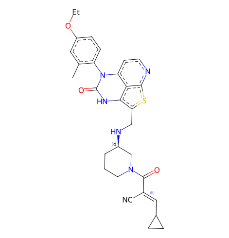 CCOc1ccc(N2C(=O)Nc3c(CN[C@@H]4CCCN(C(=O)/C(C#N)=C/C5CC5)C4)sc4nccc2c34)c(C)c1